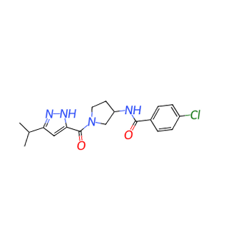 CC(C)c1cc(C(=O)N2CCC(NC(=O)c3ccc(Cl)cc3)C2)[nH]n1